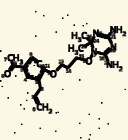 C=CCc1cc(C(C)=O)ccc1OCCCON1C(N)=NC(N)=NC1(C)C